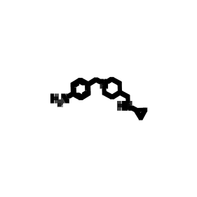 Nc1ccc(CN2CCC(CNC3CC3)CC2)cc1